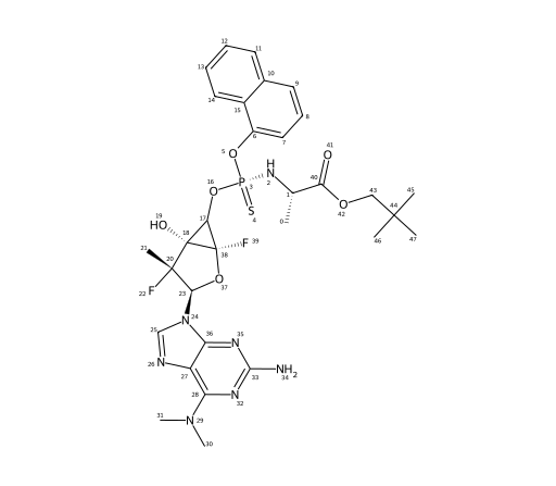 C[C@H](N[P@@](=S)(Oc1cccc2ccccc12)OC1[C@]2(O)[C@@](C)(F)[C@H](n3cnc4c(N(C)C)nc(N)nc43)O[C@]12F)C(=O)OCC(C)(C)C